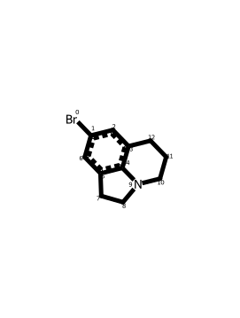 Brc1cc2c3c(c1)CCN3CCC2